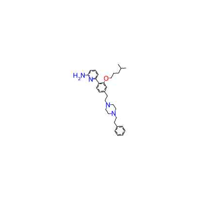 CC(C)CCCOc1cc(CCN2CCN(CCc3ccccc3)CC2)ccc1-c1cccc(N)n1